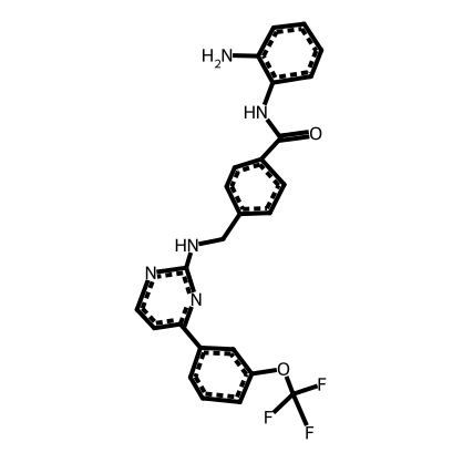 Nc1ccccc1NC(=O)c1ccc(CNc2nccc(-c3cccc(OC(F)(F)F)c3)n2)cc1